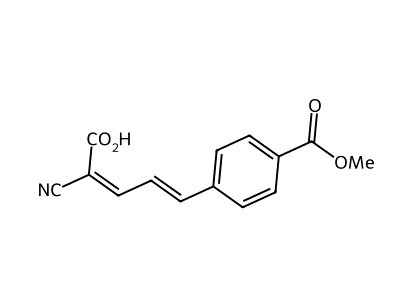 COC(=O)c1ccc(C=CC=C(C#N)C(=O)O)cc1